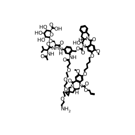 C=CCOC(=O)N1C[C@@H]2CC3(CC3)CN2C(=O)c2cc(OC)c(OCCCCCOc3cc4c(cc3OC)C(=O)N3Cc5ccccc5C[C@H]3[C@H](O)N4C(=O)OCc3ccc(NC(=O)[C@H](CO[C@@H]4O[C@H](C(=O)O)[C@@H](O)[C@H](O)[C@H]4O)NC(=O)[C@@H](NC(C)=O)C(C)C)cc3NC(=O)CCOCCOCCOCCOCCN)cc21